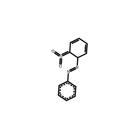 O=S(=O)=C1C=CC=CC1N=Nc1ccccc1